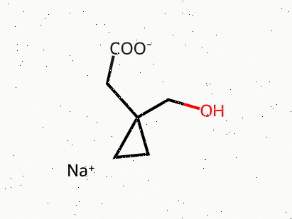 O=C([O-])CC1(CO)CC1.[Na+]